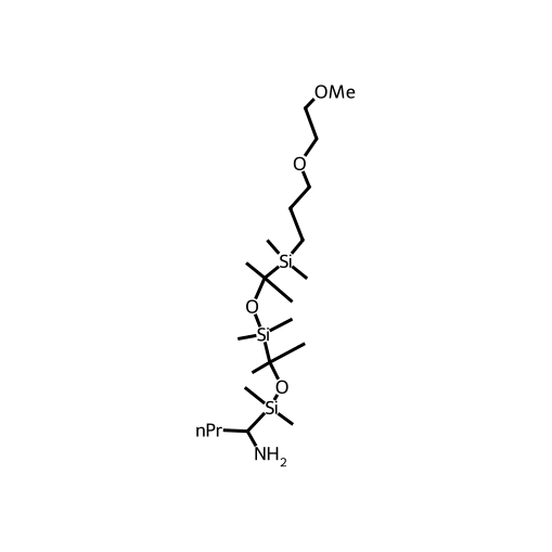 CCCC(N)[Si](C)(C)OC(C)(C)[Si](C)(C)OC(C)(C)[Si](C)(C)CCCOCCOC